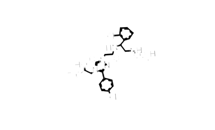 O=C(O)NCC(NC(=O)Cn1nc(-c2ccc(Cl)cc2)n(C[C@H](O)C(F)(F)F)c1=O)c1ccccc1Cl